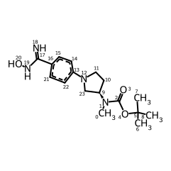 CN(C(=O)OC(C)(C)C)[C@@H]1CCN(c2ccc(C(=N)NO)cc2)C1